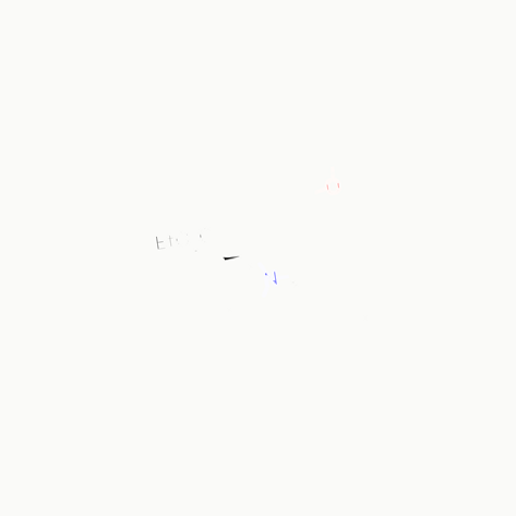 CCOC(=O)C[C@@H](c1ccc2ccoc2c1)N(Cc1ccccc1)[C@H](C)c1ccccc1